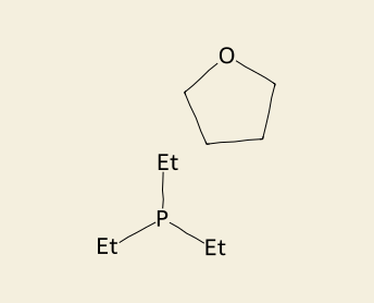 C1CCOC1.CCP(CC)CC